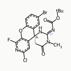 CN1C(=O)C[C@@]2(N/C1=N\C(=O)OC(C)(C)C)c1cc(Br)ccc1Oc1c2cc(Cl)nc1F